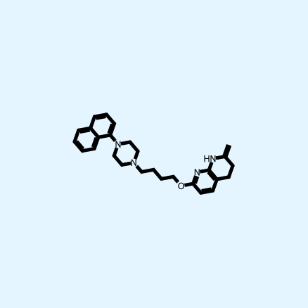 C=C1CCc2ccc(OCCCCN3CCN(c4cccc5ccccc45)CC3)nc2N1